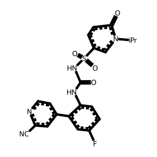 CC(C)n1cc(S(=O)(=O)NC(=O)Nc2ccc(F)cc2-c2ccnc(C#N)c2)ccc1=O